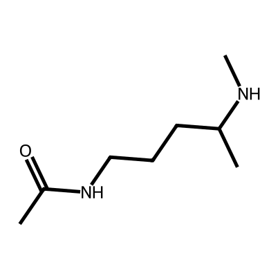 CNC(C)CCCNC(C)=O